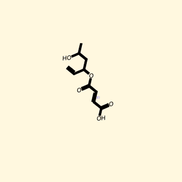 C=CC(CC(C)O)OC(=O)/C=C/C(=O)O